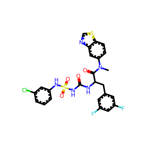 CN(C(=O)C(Cc1cc(F)cc(F)c1)NC(=O)NS(=O)(=O)Nc1cccc(Cl)c1)c1ccc2scnc2c1